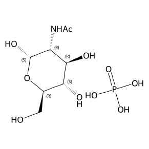 CC(=O)N[C@@H]1[C@@H](O)[C@H](O)[C@@H](CO)O[C@@H]1O.O=P(O)(O)O